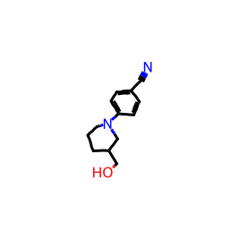 N#Cc1ccc(N2CCCC(CO)C2)cc1